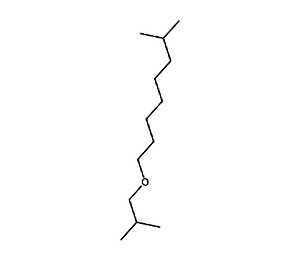 CC(C)CCCCCCOCC(C)C